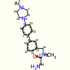 CC(=O)N1CCN(c2ccc(-c3cccc(CN(C)C(=O)CN)c3)cc2)CC1